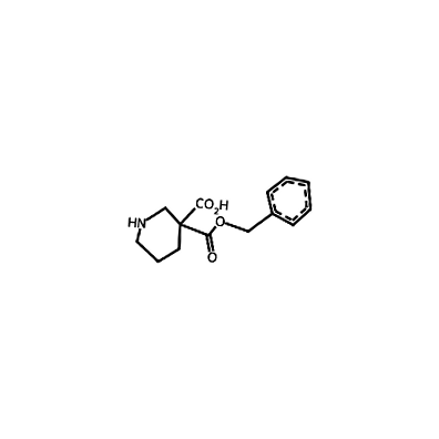 O=C(O)C1(C(=O)OCc2ccccc2)CCCNC1